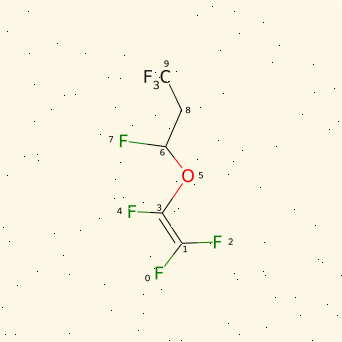 FC(F)=C(F)OC(F)CC(F)(F)F